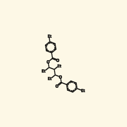 CCc1ccc(C(=O)OC(CC)C(CC)C(CC)OC(=O)c2ccc(CC)cc2)cc1